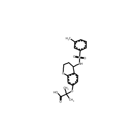 Cc1cccc(S(=O)(=O)NC2CCOc3cc(OC(C)(C)C(=O)O)ccc32)c1